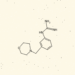 N=C(N)Nc1cccc(CN2CCOCC2)c1